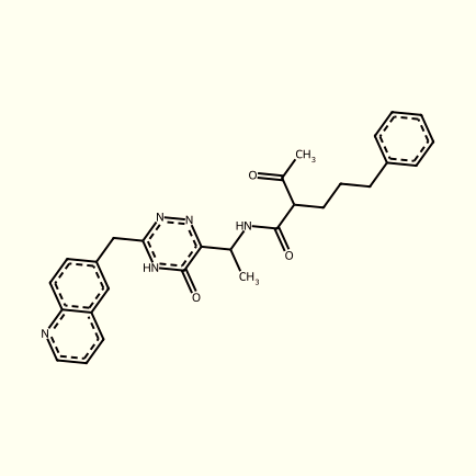 CC(=O)C(CCCc1ccccc1)C(=O)NC(C)c1nnc(Cc2ccc3ncccc3c2)[nH]c1=O